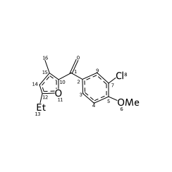 C=C(c1ccc(OC)c(Cl)c1)c1oc(CC)cc1C